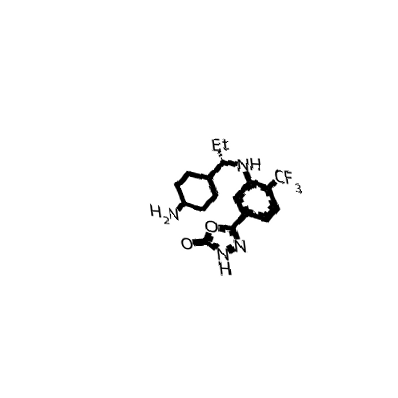 CC[C@H](Nc1cc(-c2n[nH]c(=O)o2)ccc1C(F)(F)F)C1CCC(N)CC1